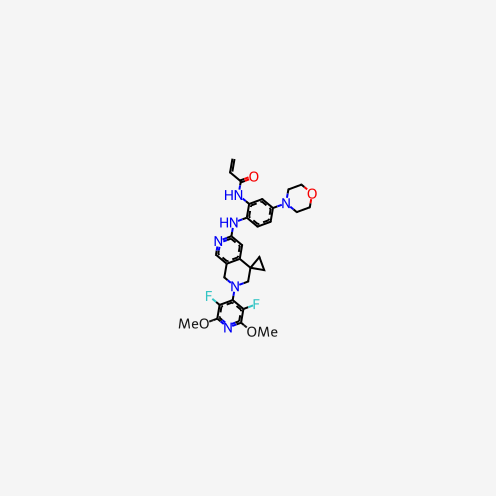 C=CC(=O)Nc1cc(N2CCOCC2)ccc1Nc1cc2c(cn1)CN(c1c(F)c(OC)nc(OC)c1F)CC21CC1